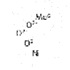 [Mo+6].[Ni].[O-2].[O-2].[O-2]